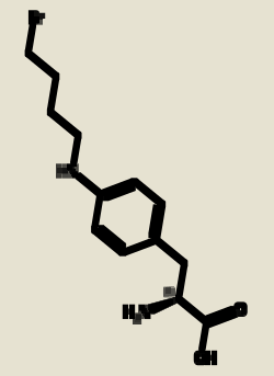 N[C@@H](Cc1ccc(NCCCCBr)cc1)C(=O)O